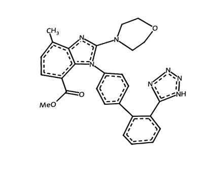 COC(=O)c1ccc(C)c2nc(N3CCOCC3)n(-c3ccc(-c4ccccc4-c4nnn[nH]4)cc3)c12